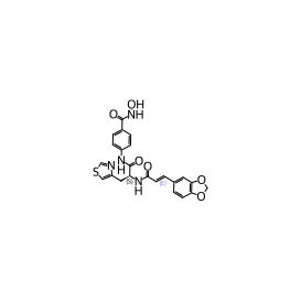 O=C(/C=C/c1ccc2c(c1)OCO2)N[C@@H](Cc1cscn1)C(=O)Nc1ccc(C(=O)NO)cc1